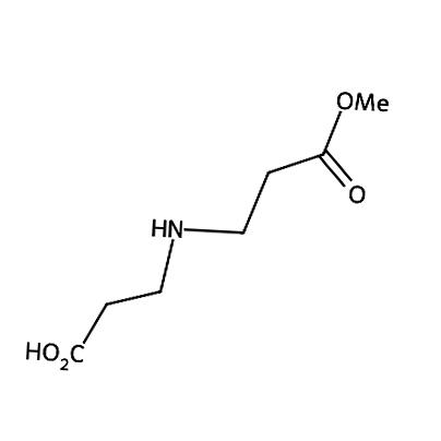 COC(=O)CCNCCC(=O)O